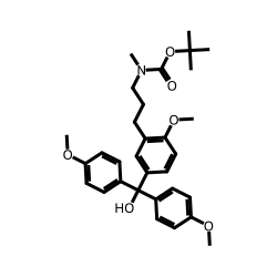 COc1ccc(C(O)(c2ccc(OC)cc2)c2ccc(OC)c(CCCN(C)C(=O)OC(C)(C)C)c2)cc1